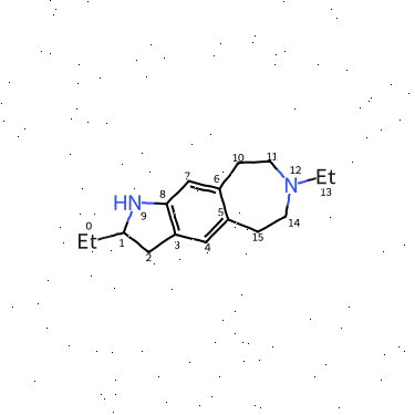 CCC1Cc2cc3c(cc2N1)CCN(CC)CC3